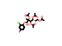 CC(=O)OCC[C@@H](OC(C)=O)C(OC(C)=O)C(C)(OC(C)=O)[C@H](O)Oc1ccc(I)cc1Cl